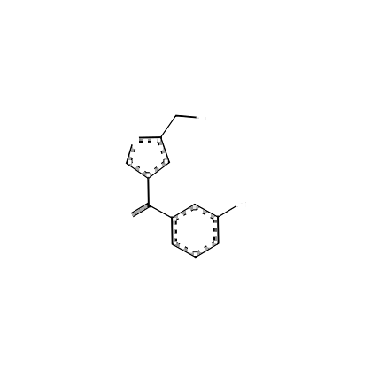 O=C(c1cccc(Br)c1)c1csc(CO)c1